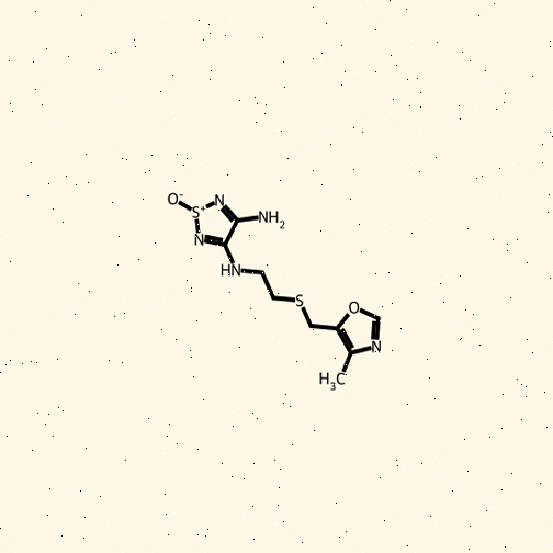 Cc1ncoc1CSCCNc1n[s+]([O-])nc1N